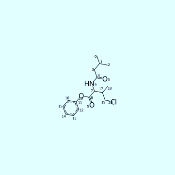 CC(C)CC(=O)NC(C(=O)Oc1ccccc1)C(C)CCl